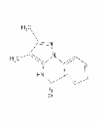 Cc1nn2c([nH]c(=O)c3ccccc32)c1C